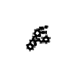 C[C@@]1(CN(Cc2ccccc2)C(=O)OCc2ccccc2)CCC(N=[N+]=[N-])C(O)O1